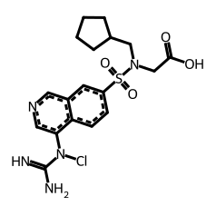 N=C(N)N(Cl)c1cncc2cc(S(=O)(=O)N(CC(=O)O)CC3CCCC3)ccc12